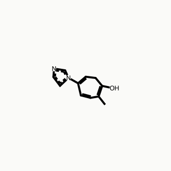 CC1=C(O)CC=C(n2ccnc2)C=C1